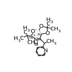 CC(c1ccccn1)[C@@H](N[S@+]([O-])C(C)(C)C)[C@@H]1COC(C)(C)O1